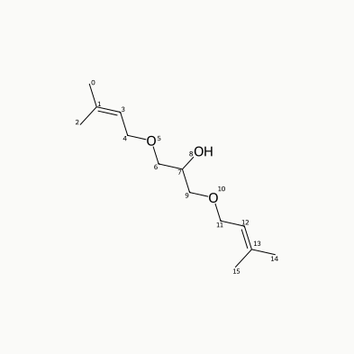 CC(C)=CCOCC(O)COCC=C(C)C